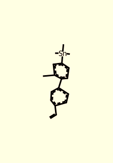 C=Cc1ccc(-c2cc[c]([Sn]([CH3])([CH3])[CH3])cc2C)cc1